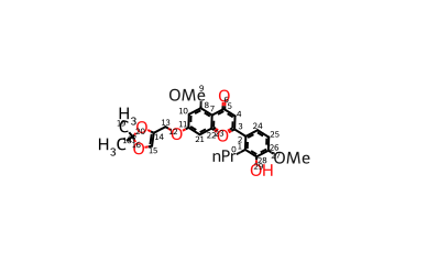 CCCc1c(-c2cc(=O)c3c(OC)cc(OCC4=COC(C)(C)O4)cc3o2)ccc(OC)c1O